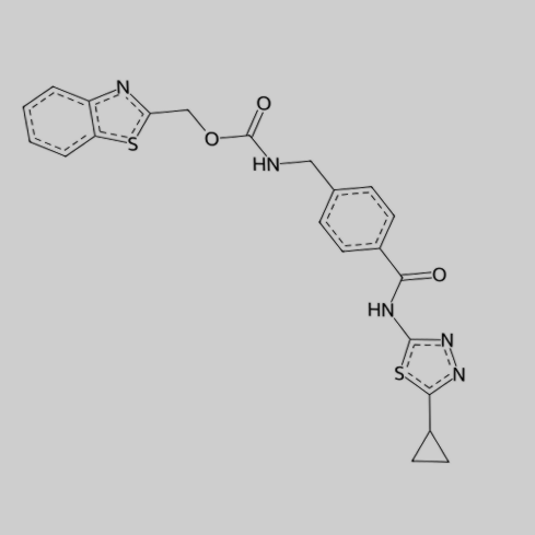 O=C(NCc1ccc(C(=O)Nc2nnc(C3CC3)s2)cc1)OCc1nc2ccccc2s1